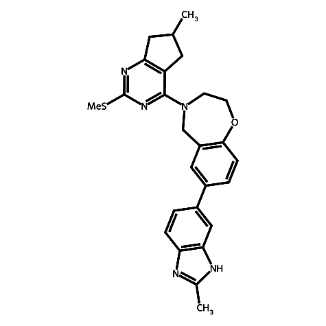 CSc1nc2c(c(N3CCOc4ccc(-c5ccc6nc(C)[nH]c6c5)cc4C3)n1)CC(C)C2